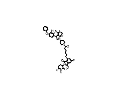 Nc1ncnc2c1c(-c1ccc(Oc3ccccc3)cc1)nn2C1CCN(C(=O)CCCCSc2cc(F)cc3c2C(=O)N(C2CCC(=O)NC2=O)C3=O)CC1